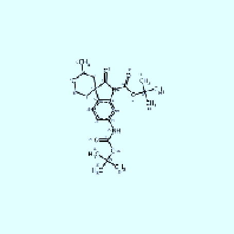 CC1CC2(CCO1)C(=O)N(C(=O)OC(C)(C)C)c1cc(NC(=O)OC(C)(C)C)ccc12